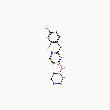 Fc1cc(Cl)ccc1Cc1nccc(OC2CCNCC2)n1